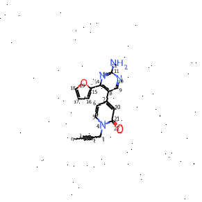 CC#CCn1ccc(-c2cnc(N)nc2-c2ccco2)cc1=O